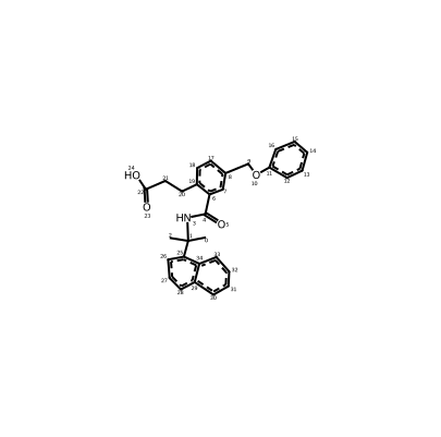 CC(C)(NC(=O)c1cc(COc2ccccc2)ccc1CCC(=O)O)c1cccc2ccccc12